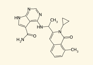 Cc1cccc2cc(C(C)Nc3ncnc4[nH]cc(C(N)=O)c34)n(C3CC3)c(=O)c12